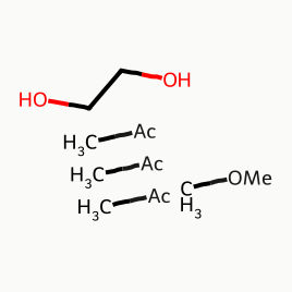 CC(C)=O.CC(C)=O.CC(C)=O.COC.OCCO